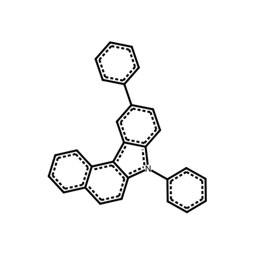 c1ccc(-c2ccc3c(c2)c2c4ccccc4ccc2n3-c2ccccc2)cc1